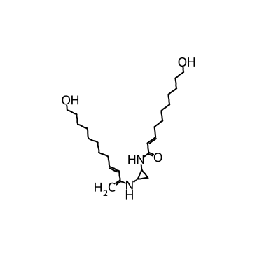 C=C(/C=C/CCCCCCCCO)N[C@@H]1CC1NC(=O)/C=C/CCCCCCCCO